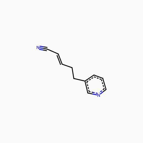 N#C/C=C/CCc1cccnc1